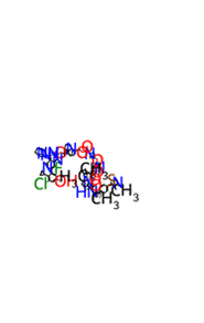 Cc1ncsc1-c1ccc([C@H](C)NC(=O)[C@@H]2CCCN2C(=O)[C@H](c2cc(OC3CN(C(=O)OCC4CC[C@@]5(COc6nc(N7CC8CCC(C7)N8)c7cnc(-c8cc(O)cc(Cl)c8C8CC8)c(F)c7n6)CCCN45)C3)no2)C(C)C)cc1